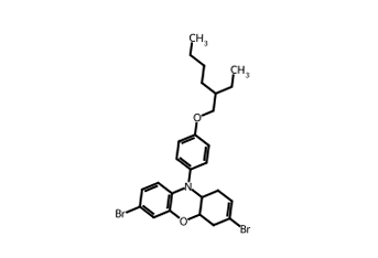 CCCCC(CC)COc1ccc(N2c3ccc(Br)cc3OC3CC(Br)=CCC32)cc1